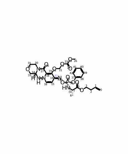 C=CCCOC(=O)[C@H](C)NP(=O)(O/N=c1\ccn2c(c1OCOC(=O)OC)C(=O)N1CCOC[C@H]1N2)Oc1ccccc1